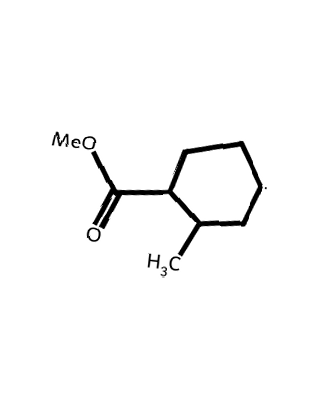 COC(=O)C1CC[CH]CC1C